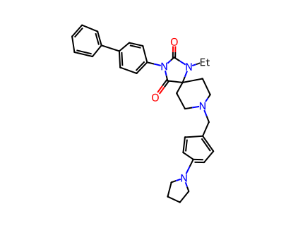 CCN1C(=O)N(c2ccc(-c3ccccc3)cc2)C(=O)C12CCN(Cc1ccc(N3CCCC3)cc1)CC2